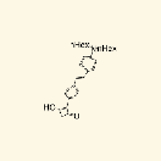 CCCCCCN(CCCCCC)c1ccc(/C=C/c2ccc(C3=C(O)CC3=O)cc2)cc1